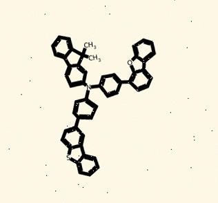 CC1(C)c2ccccc2-c2ccc(N(c3ccc(-c4ccc5sc6ccccc6c5c4)cc3)c3ccc(-c4cccc5c4oc4ccccc45)cc3)cc21